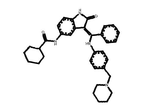 O=C1Nc2ccc(NC(=O)C3CCCCC3)cc2C1=C(Nc1ccc(CN2CCCCC2)cc1)c1ccccc1